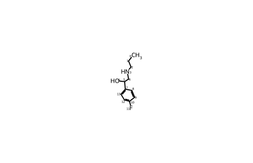 CCCNCC(O)c1ccc(F)cc1